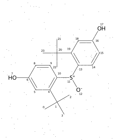 CC(C)(C)c1cc(O)ccc1[S+]([O-])c1ccc(O)cc1C(C)(C)C